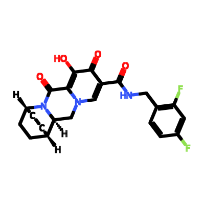 O=C(NCc1ccc(F)cc1F)c1cn2c(c(O)c1=O)C(=O)N1[C@H]3CC[C@H](CC3)[C@@H]1C2